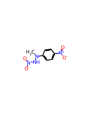 CN(N[N+](=O)[O-])c1ccc([N+](=O)[O-])cc1